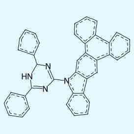 c1ccc(C2=NC(n3c4ccccc4c4cc5c6ccccc6c6ccccc6c5cc43)=NC(c3ccccc3)N2)cc1